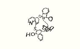 O=C1c2ccccc2C(=O)N1CCS(=O)(=O)Nc1cc(Sc2cccc3cccnc23)c(O)c2ccccc12